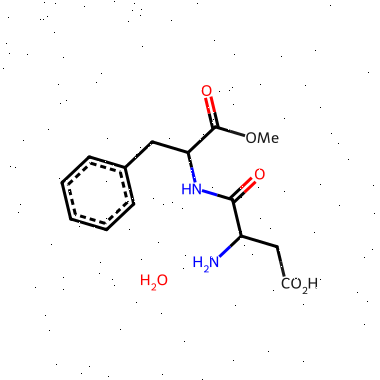 COC(=O)C(Cc1ccccc1)NC(=O)C(N)CC(=O)O.O